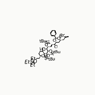 C=C(Br)C[C@@H](CCC(=O)/C=C/[C@H](O[Si](C)(C)C(C)(C)C)[C@@H]1O[C@H]2CC[C@H](CCO[Si](CC)(CC)CC)O[C@@H]2[C@H](O[Si](C)(C)C(C)(C)C)[C@@H]1O[Si](C)(C)C(C)(C)C)OC(=O)c1ccccc1